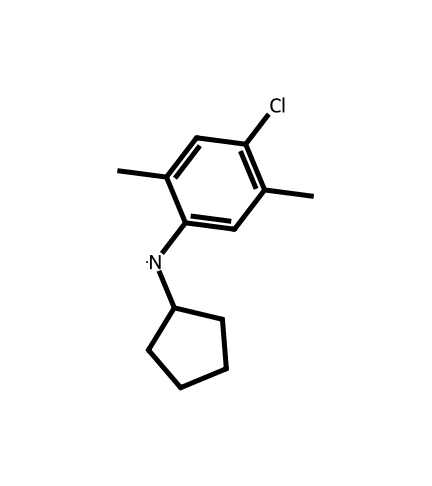 Cc1cc([N]C2CCCC2)c(C)cc1Cl